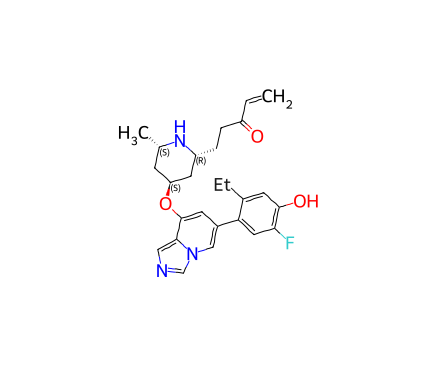 C=CC(=O)CC[C@@H]1C[C@@H](Oc2cc(-c3cc(F)c(O)cc3CC)cn3cncc23)C[C@H](C)N1